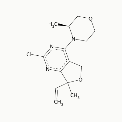 C=CC1(C)OCc2c(N3CCOC[C@@H]3C)nc(Cl)nc21